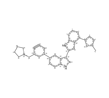 Cc1ccc(-c2cccc3[nH]c(-c4n[nH]c5ccc(-c6cc#cc(CN7CCCC7)c6)cc45)cc23)s1